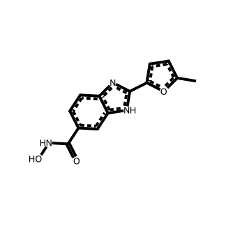 Cc1ccc(-c2nc3ccc(C(=O)NO)cc3[nH]2)o1